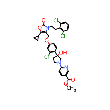 COC(=O)c1ccc(N2CCC(O)(c3ccc(OCc4c(C5CC5)oc(=O)n4CCc4c(Cl)cccc4Cl)cc3Cl)C2)nc1